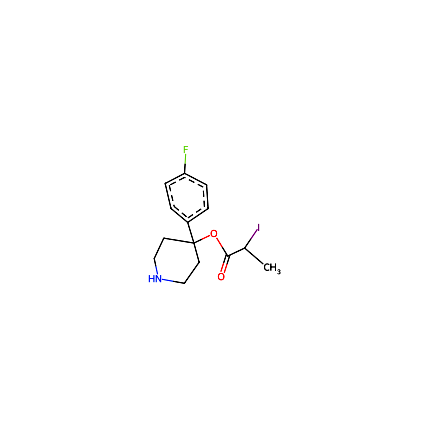 CC(I)C(=O)OC1(c2ccc(F)cc2)CCNCC1